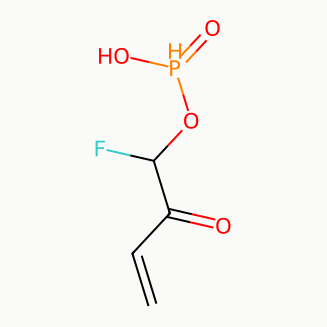 C=CC(=O)C(F)O[PH](=O)O